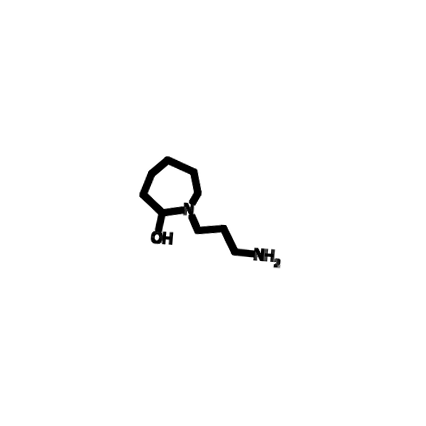 NCCCN1CCCCCC1O